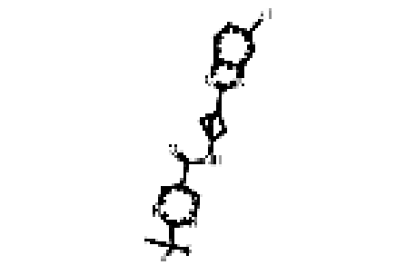 O=C(NC12CC(c3nc4cc(Cl)ccc4o3)(C1)C2)c1cnc(C(F)(F)F)nc1